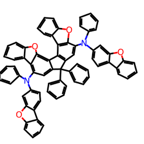 c1ccc(N(c2ccc3c(c2)oc2ccccc23)c2cc3c(c4c2oc2ccccc24)-c2c(cc(N(c4ccccc4)c4ccc5c(c4)oc4ccccc45)c4c2oc2ccccc24)C3(c2ccccc2)c2ccccc2)cc1